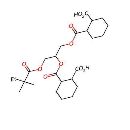 CCC(C)(C)C(=O)OCC(COC(=O)C1CCCCC1C(=O)O)OC(=O)C1CCCCC1C(=O)O